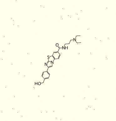 CCN(CC)CCCNC(=O)c1ccc2c(c1)sc1nc(-c3ccc(CO)cc3)cn12